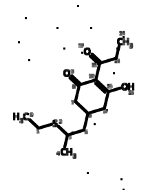 CCSC(C)CC1CC(=O)C(C(=O)CC)=C(O)C1